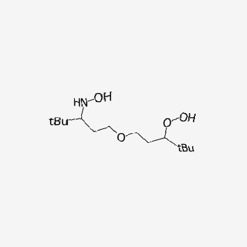 CC(C)(C)C(CCOCCC(OO)C(C)(C)C)NO